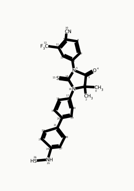 CC1(C)C(=O)N(c2ccc(C#N)c(C(F)(F)F)c2)C(=S)N1c1ccc(-c2ccc(NS)cc2)cc1